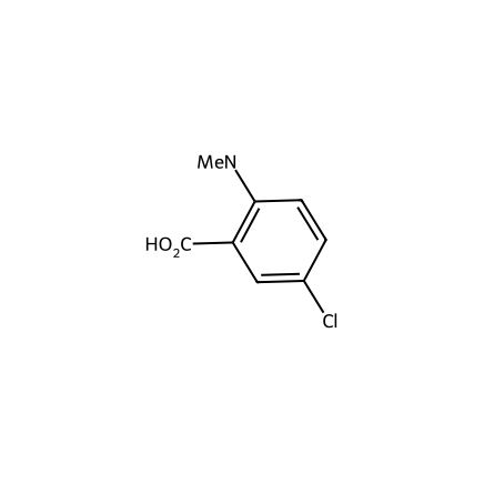 CNc1ccc(Cl)cc1C(=O)O